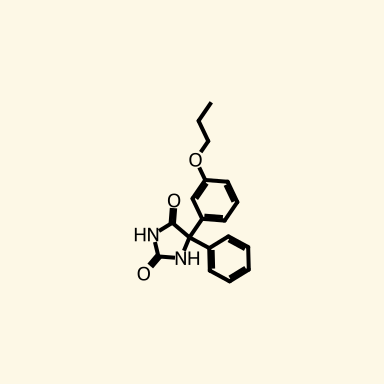 CCCOc1cccc(C2(c3ccccc3)NC(=O)NC2=O)c1